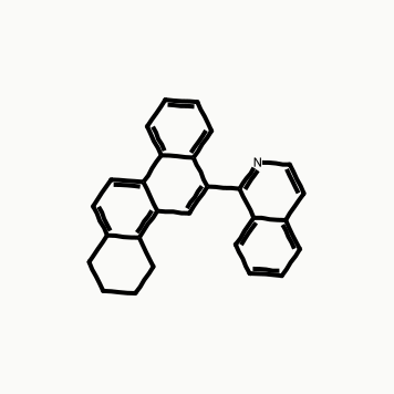 c1ccc2c(-c3cc4c5c(ccc4c4ccccc34)CCCC5)nccc2c1